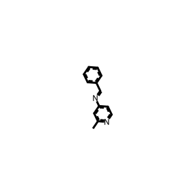 Cc1cc(N=Cc2ccccc2)ccn1